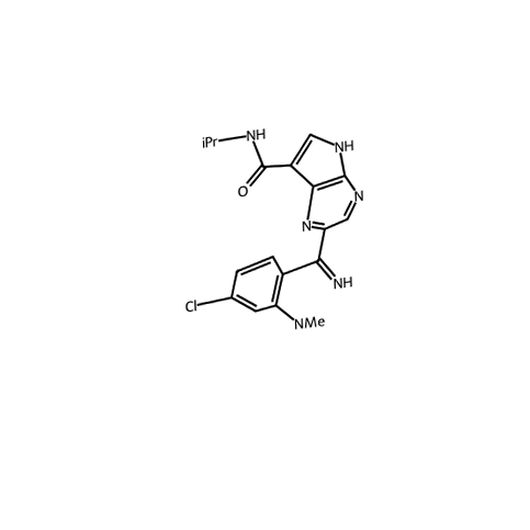 CNc1cc(Cl)ccc1C(=N)c1cnc2[nH]cc(C(=O)NC(C)C)c2n1